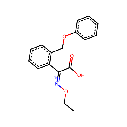 CCO/N=C(\C(=O)O)c1ccccc1COc1ccccc1